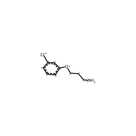 NCCCOc1cccc(Cl)c1